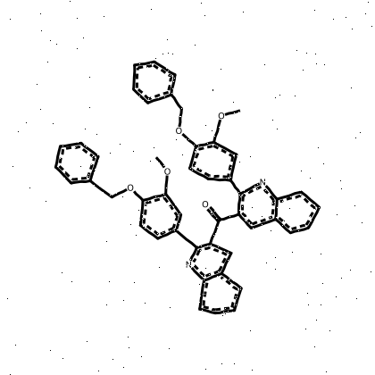 COc1cc(-c2nc3ccccc3cc2C(=O)c2cc3ccccc3nc2-c2ccc(OCc3ccccc3)c(OC)c2)ccc1OCc1ccccc1